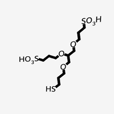 O=S(=O)(O)CCCOCC(COCCCS)OCCCS(=O)(=O)O